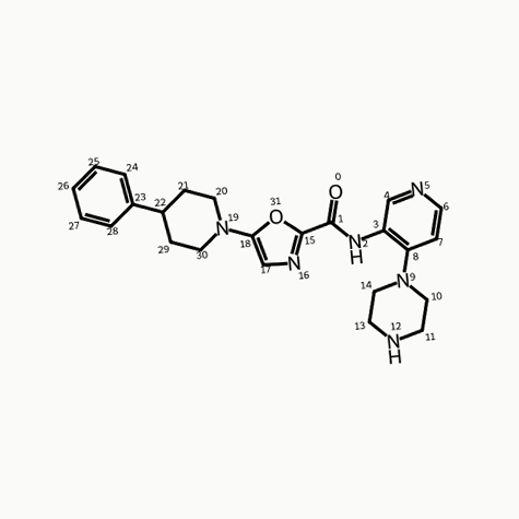 O=C(Nc1cnccc1N1CCNCC1)c1ncc(N2CCC(c3ccccc3)CC2)o1